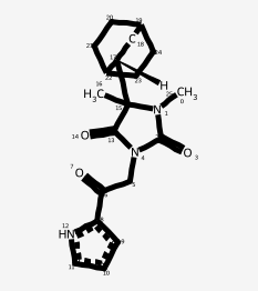 CN1C(=O)N(CC(=O)c2ccc[nH]2)C(=O)C1(C)[C@H]1CC2CCC1CC2